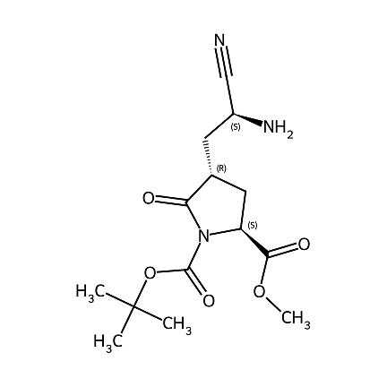 COC(=O)[C@@H]1C[C@@H](C[C@H](N)C#N)C(=O)N1C(=O)OC(C)(C)C